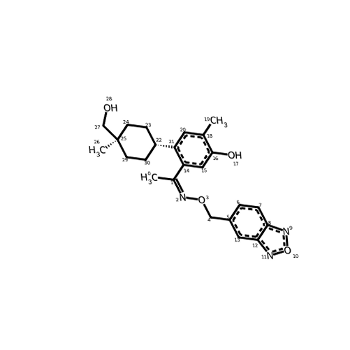 CC(=NOCc1ccc2nonc2c1)c1cc(O)c(C)cc1[C@H]1CC[C@](C)(CO)CC1